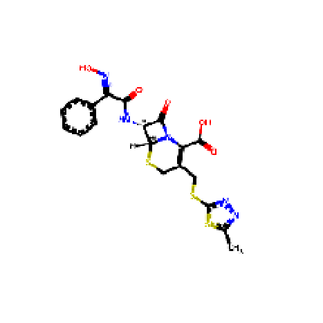 Cc1nnc(SCC2=C(C(=O)O)N3C(=O)[C@@H](NC(=O)/C(=N/O)c4ccccc4)[C@H]3SC2)s1